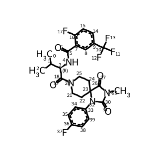 CC(C)[C@@H](NC(=O)c1cc(C(F)(F)F)ccc1F)C(=O)N1CCC2(CC1)C(=O)N(C)C(=O)N2c1ccc(F)cc1